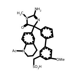 COc1cc(CS(=O)(=O)O)cc(-c2cccc(C3(c4ccc5c(c4)CCCN5C(C)=O)N=C(N)N(C)C3=O)c2)c1